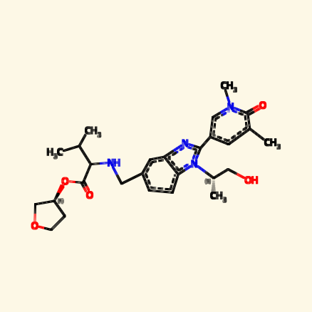 Cc1cc(-c2nc3cc(CNC(C(=O)O[C@H]4CCOC4)C(C)C)ccc3n2[C@@H](C)CO)cn(C)c1=O